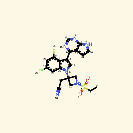 CCS(=O)(=O)N1CC(CC#N)(n2cc(-c3ncnc4[nH]ccc34)c3c(F)cc(F)cc32)C1